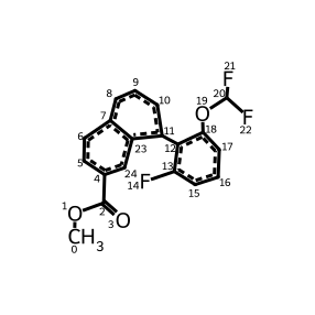 COC(=O)c1ccc2cccc(-c3c(F)cccc3OC(F)F)c2c1